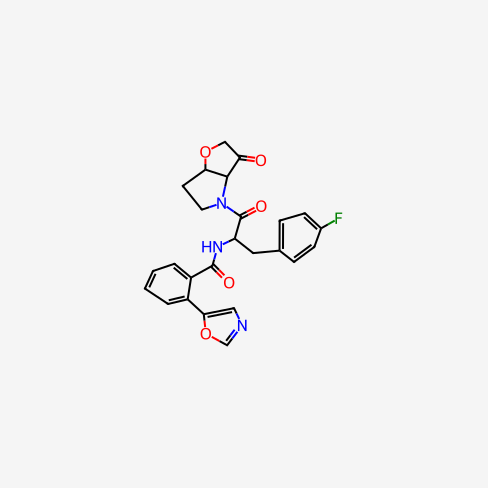 O=C(NC(Cc1ccc(F)cc1)C(=O)N1CCC2OCC(=O)C21)c1ccccc1-c1cnco1